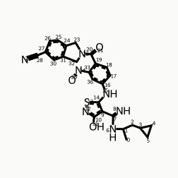 CC(CC1CC1)NC(=N)c1c(O)nsc1Nc1ccc(C(=O)N2Cc3ccc(C#N)cc3C2)c(N=O)c1